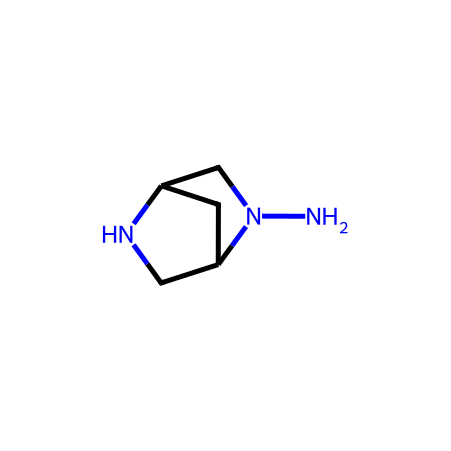 NN1CC2CC1CN2